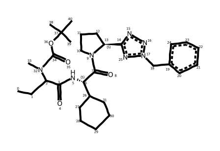 CCC(C(=O)N[C@H](C(=O)N1CCC[C@H]1c1nnn(Cc2ccccc2)n1)C1CCCCC1)N(C)C(=O)OC(C)(C)C